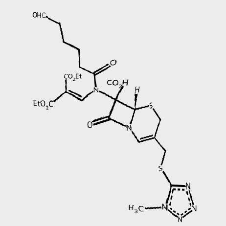 CCOC(=O)C(=CN(C(=O)CCCCC=O)C1(C(=O)O)C(=O)N2C=C(CSc3nnnn3C)CS[C@H]21)C(=O)OCC